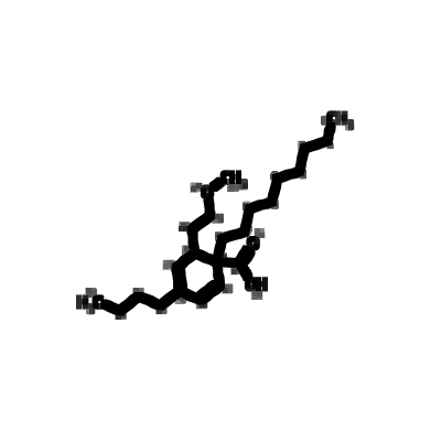 CCCCCCCCCC1(C(=O)O)C=CC(CCCC)=CC1CCOC